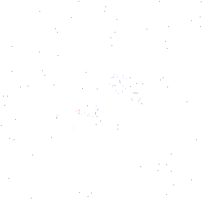 CC(C)(C)OC(=O)NCC(=O)N1CCC(CCn2c(Sc3cc4c(cc3Br)OCO4)nc3c(N)ncnc32)CC1